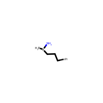 BB(N)CCCCCC